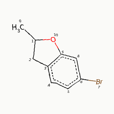 CC1Cc2ccc(Br)cc2O1